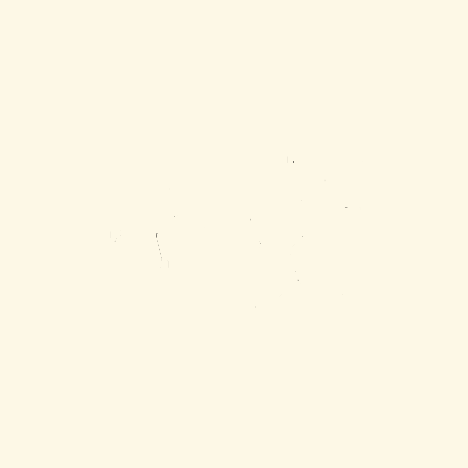 C=C(C)C(=O)OCC(CSC(C)(C)C)OC(=O)C(=C)C